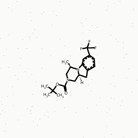 C[C@@H]1CN(C(=O)OC(C)(C)C)C[C@@H]2Cc3ccc(C(F)(F)F)cc3N21